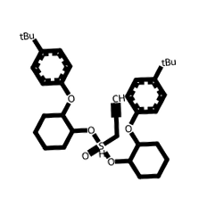 C#CC[SH](=O)(OC1CCCCC1Oc1ccc(C(C)(C)C)cc1)OC1CCCCC1Oc1ccc(C(C)(C)C)cc1